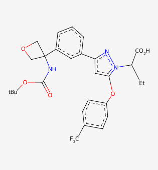 CCC(C(=O)O)n1nc(-c2cccc(C3(NC(=O)OC(C)(C)C)COC3)c2)cc1Oc1ccc(C(F)(F)F)cc1